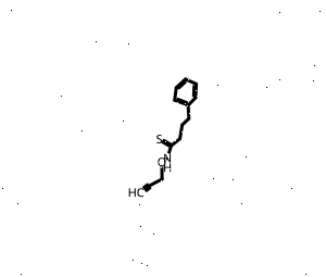 C#CCONC(=S)CCCc1ccccc1